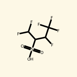 O=S(=O)(O)C(C(F)F)C(F)C(F)(F)F